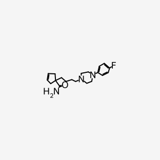 NC(=O)C1(CCCCN2CCN(c3ccc(F)cc3)CC2)CC=CC1